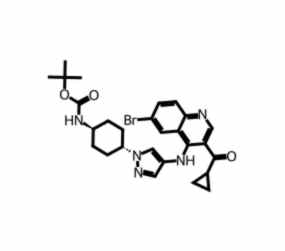 CC(C)(C)OC(=O)N[C@H]1CC[C@H](n2cc(Nc3c(C(=O)C4CC4)cnc4ccc(Br)cc34)cn2)CC1